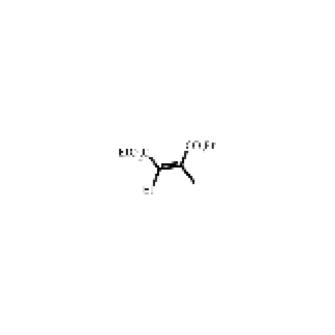 CCOC(=O)/C(C)=C(/CC)C(=O)OCC